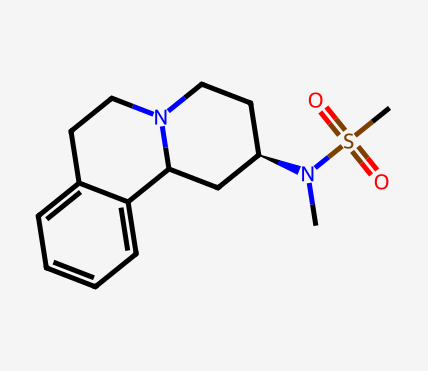 CN([C@@H]1CCN2CCc3ccccc3C2C1)S(C)(=O)=O